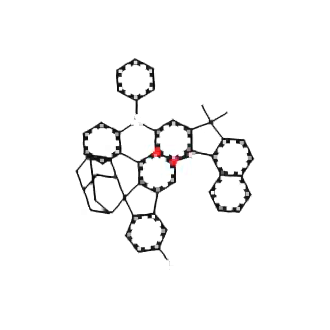 CC1(C)c2cc(N(c3ccccc3)c3ccccc3-c3cc(F)cc4c3C3(c5ccc(F)cc5-4)C4CC5CC(C4)CC3C5)ccc2-c2c1ccc1ccccc21